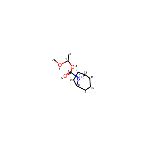 COC(C)OC(=O)[N+]1[C]2C[CH]CC1CC2